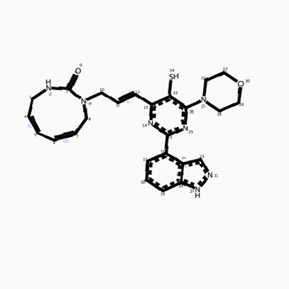 O=C1NC/C=C\C=C/CN1C/C=C/c1nc(-c2cccc3[nH]ncc23)nc(N2CCOCC2)c1S